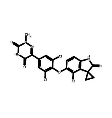 Cn1nc(-c2cc(Cl)c(Oc3ccc4c(c3Cl)C3(CC3)C(=O)N4)c(Cl)c2)c(=O)[nH]c1=O